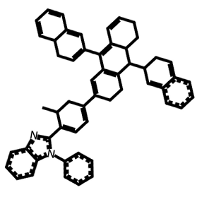 CC1CC(C2=CC3=C(CC2)C(C2C=c4ccccc4=CC2)C2CCC=CC2=C3C2=CCC3C=CC=CC3=C2)=CC=C1c1nc2ccccc2n1-c1ccccc1